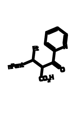 CCCCCC(CC)C(C(=O)O)C(=O)c1ccccn1